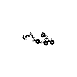 CC(=O)N(CCOC(=O)c1ccc(COc2cccc([C@@H](NC(=O)OC3CN4CCC3CC4)c3ccccc3)c2)cc1)CCC1OCCO1